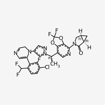 C[C@H](c1cnc(N2C[C@H]3C[C@H]3C2=O)c2c1OC(F)(F)O2)n1cc(N2CC=NC=C2c2c(C(F)F)ccc(Cl)c2F)cn1